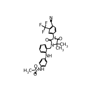 CC1(C)C(=O)N(c2ccc(C#N)c(C(F)(F)F)c2)C(=O)N1Cc1ccccc1Nc1ccc(NS(C)(=O)=O)cc1